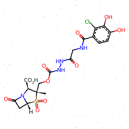 C[C@]1(COC(=O)NNC(=O)CNC(=O)c2ccc(O)c(O)c2Cl)[C@H](C(=O)O)N2C(=O)C[C@H]2S1(=O)=O